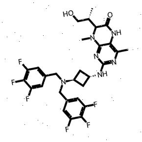 Cc1nc(N[C@H]2C[C@H](N(Cc3cc(F)c(F)c(F)c3)Cc3cc(F)c(F)c(F)c3)C2)nc2c1NC(=O)C([C@@H](C)CO)N2C